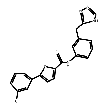 O=C(Nc1cccc(Cc2nnn[nH]2)c1)c1ccc(-c2cccc(Cl)c2)o1